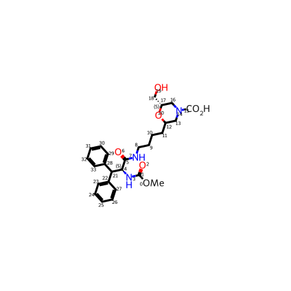 COC(=O)N[C@H](C(=O)NCCCCC1CN(C(=O)O)C[C@@H](CO)O1)C(c1ccccc1)c1ccccc1